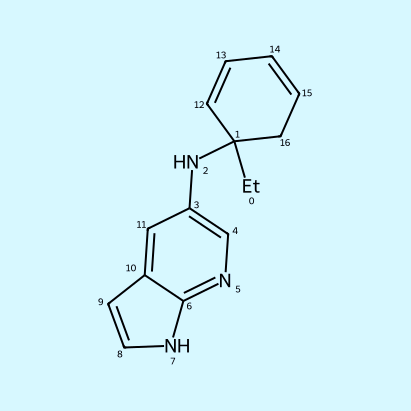 CCC1(Nc2cnc3[nH]ccc3c2)C=CC=CC1